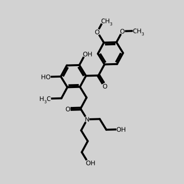 CCc1c(O)cc(O)c(C(=O)c2ccc(OC)c(OC)c2)c1CC(=O)N(CCO)CCCO